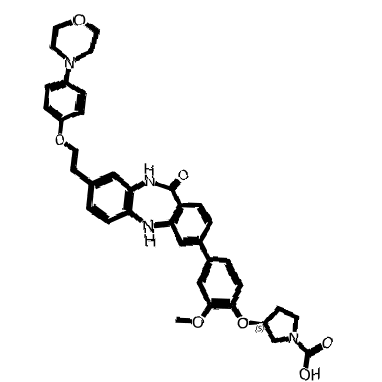 COc1cc(-c2ccc3c(c2)Nc2ccc(CCOc4ccc(N5CCOCC5)cc4)cc2NC3=O)ccc1O[C@H]1CCN(C(=O)O)C1